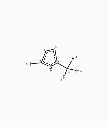 FC(F)(F)c1ccc(I)s1